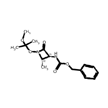 COC(C)(C)ON1C(=O)[C@@H](NC(=O)OCc2ccccc2)[C@@H]1C